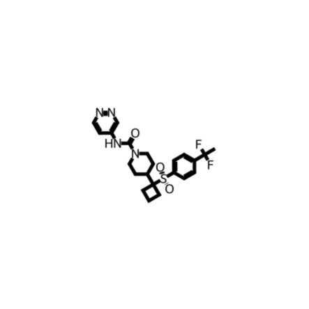 CC(F)(F)c1ccc(S(=O)(=O)C2(C3CCN(C(=O)Nc4ccnnc4)CC3)CCC2)cc1